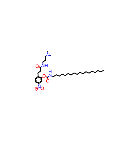 CCCCCCCCCCCCCCCCCCNC(=O)Oc1cc([N+](=O)[O-])ccc1CCC(=O)NCCCN(C)C